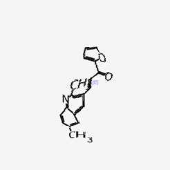 Cc1ccc2nc(C)c(/C=C/C(=O)c3ccco3)cc2c1